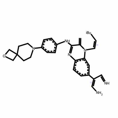 C=C1C(Nc2ccc(N3CCC4(CC3)COC4)cc2)=Nc2ccc(/C(C=N)=C/N)cc2N1/C=C\C(C)CC